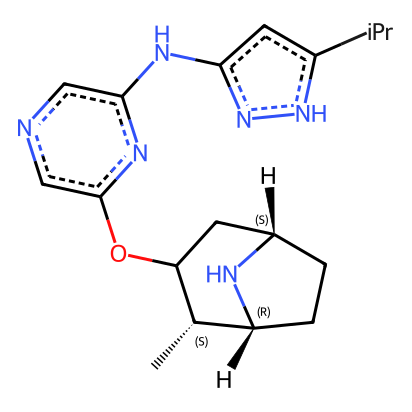 CC(C)c1cc(Nc2cncc(OC3C[C@@H]4CC[C@@H](N4)[C@@H]3C)n2)n[nH]1